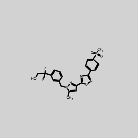 Cc1cc(-c2nc(-c3ccc(S(=O)(=O)C(F)(F)F)cc3)no2)nn1Cc1cccc(C(F)(F)CO)c1